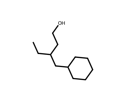 CCC(CCO)CC1CCCCC1